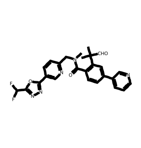 CN(Cc1ccc(-c2nnc(C(F)F)o2)cn1)C(=O)c1ccc(-c2cccnc2)cc1C(C)(C)C=O